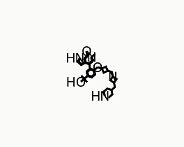 Cn1cc(-c2cc(C(C)(C)O)ccc2OC2CC(CN3CC(CC4CCNCC4)C3)C2)c2cc[nH]c2c1=O